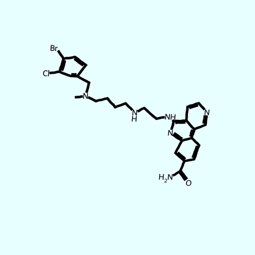 CN(CCCCNCCNc1nc2cc(C(N)=O)ccc2c2cnccc12)Cc1ccc(Br)c(Cl)c1